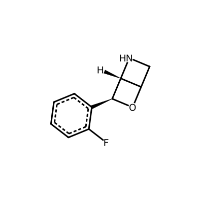 Fc1ccccc1[C@@H]1OC2CN[C@H]21